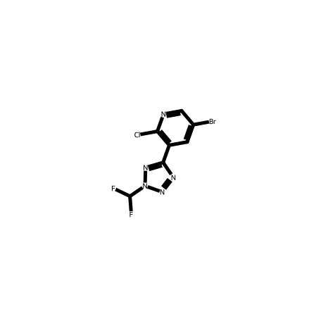 FC(F)n1nnc(-c2cc(Br)cnc2Cl)n1